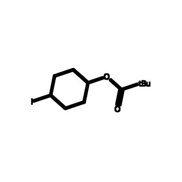 CC(C)(C)C(=O)OC1CCC(I)CC1